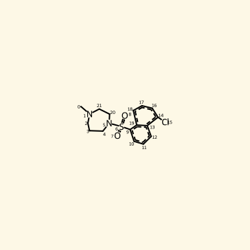 CN1CCCN(S(=O)(=O)c2cccc3c(Cl)cccc23)CC1